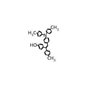 Cc1ccc(C(=Cc2ccc(N(c3ccc(C)cc3)c3ccc(C)cc3)cc2)c2ccc(O)cc2)cc1